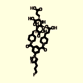 O=C(O)CCC1CCN(C(=O)c2cc(C(=O)N3CCC(C[C@H](NC(=O)N[C@@H](CCC(=O)O)C(=O)O)C(=O)O)CC3)cc(-n3cc(CCCF)nn3)c2)CC1